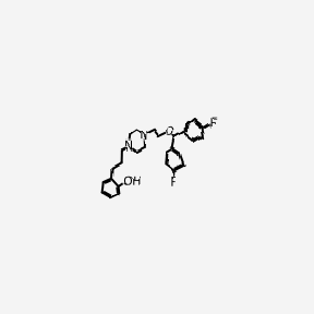 Oc1ccccc1CCCN1CCN(CCOC(c2ccc(F)cc2)c2ccc(F)cc2)CC1